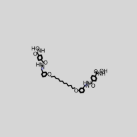 O=C(NO)c1ccc(C(=O)N/N=C/c2cccc(OCCCCCCCCCCCCOc3cccc(/C=N/NC(=O)c4ccc(C(=O)NO)cc4)c3)c2)cc1